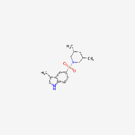 Cc1c[nH]c2ccc(S(=O)(=O)N3CC(C)CC(C)C3)cc12